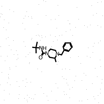 CC1CN(C(=O)NC(C)(C)C)CCN1Cc1ccccc1